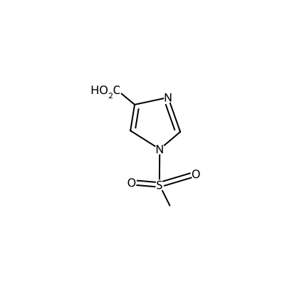 CS(=O)(=O)n1cnc(C(=O)O)c1